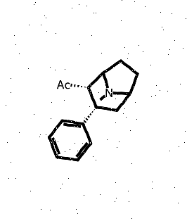 CC(=O)[C@@H]1C2CCC(C[C@@H]1c1ccccc1)N2C